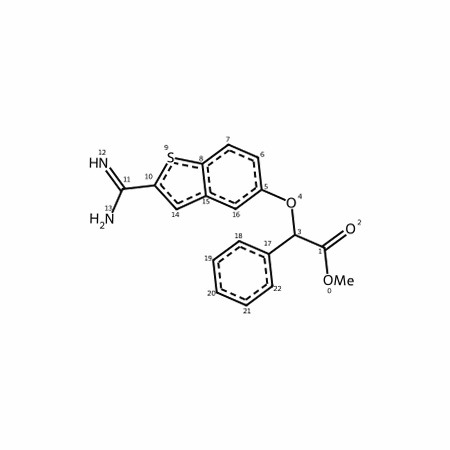 COC(=O)C(Oc1ccc2sc(C(=N)N)cc2c1)c1ccccc1